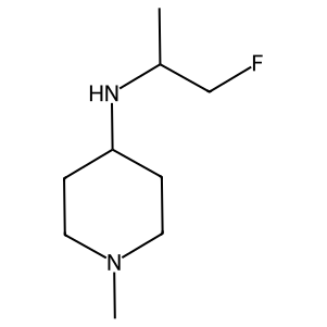 CC(CF)NC1CCN(C)CC1